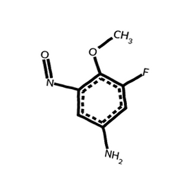 COc1c(F)cc(N)cc1N=O